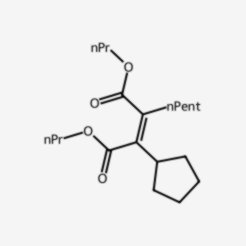 CCCCC/C(C(=O)OCCC)=C(/C(=O)OCCC)C1CCCC1